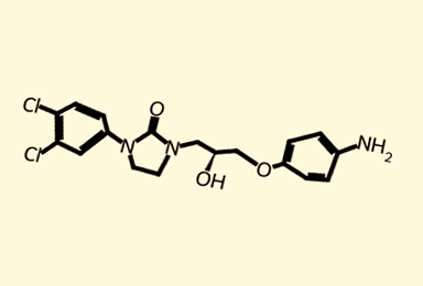 Nc1ccc(OC[C@@H](O)CN2CCN(c3ccc(Cl)c(Cl)c3)C2=O)cc1